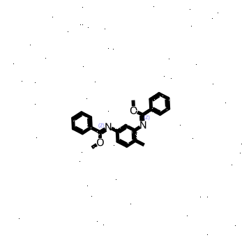 CO/C(=N\c1ccc(C)c(/N=C(\OC)c2ccccc2)c1)c1ccccc1